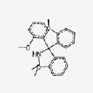 CCNC(c1ccccc1OC)(c1ccccc1OC)c1ccccc1OC